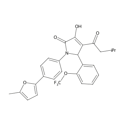 Cc1ccc(-c2ccc(N3C(=O)C(O)=C(C(=O)CC(C)C)C3c3ccccc3OC(F)(F)F)cc2)o1